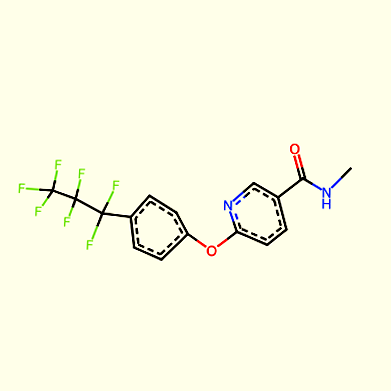 CNC(=O)c1ccc(Oc2ccc(C(F)(F)C(F)(F)C(F)(F)F)cc2)nc1